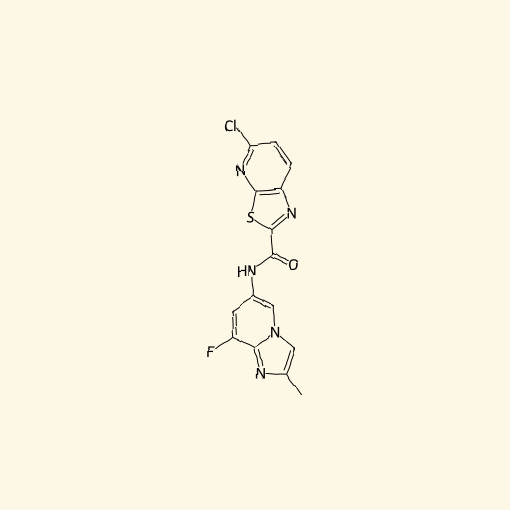 Cc1cn2cc(NC(=O)c3nc4ccc(Cl)nc4s3)cc(F)c2n1